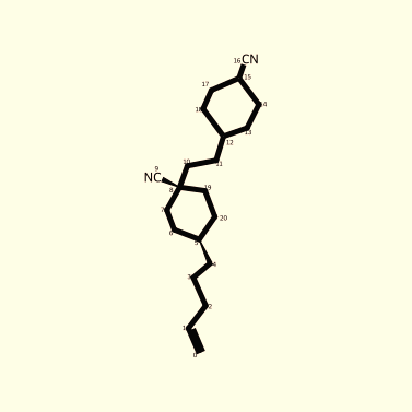 C=CCCC[C@H]1CC[C@](C#N)(CCC2CCC(C#N)CC2)CC1